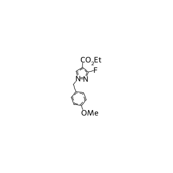 CCOC(=O)c1cn(Cc2ccc(OC)cc2)nc1F